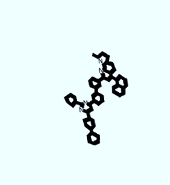 Cc1ccc2ccc3c(-c4cccc5ccccc45)cc(-c4cccc(-c5cccc(-c6cc(-c7ccc(-c8ccccc8)cc7)nc(-c7ccccc7)n6)c5)c4)nc3c2n1